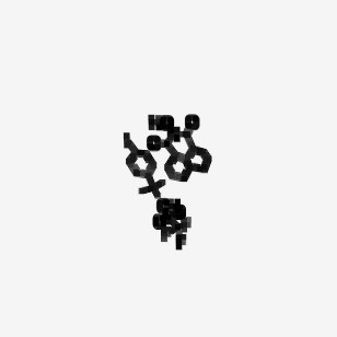 CC(C)(C)c1ccc(I)cc1.O=C1c2cccc3cccc(c23)C(=O)N1O.O=S(=O)(O)C(F)(F)F